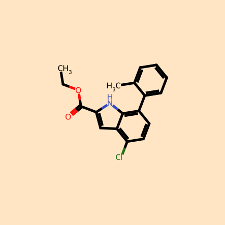 CCOC(=O)c1cc2c(Cl)ccc(-c3ccccc3C)c2[nH]1